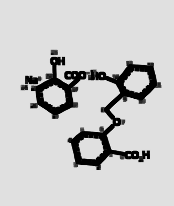 O=C(O)c1ccccc1OCc1ccccc1O.O=C([O-])c1ccccc1O.[Na+]